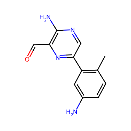 Cc1ccc(N)cc1-c1cnc(N)c(C=O)n1